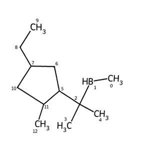 CBC(C)(C)C1CC(CC)CC1C